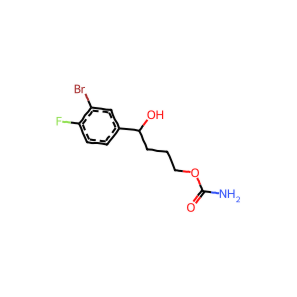 NC(=O)OCCCC(O)c1ccc(F)c(Br)c1